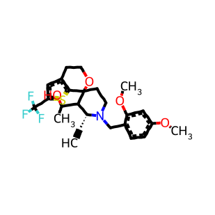 C#C[C@@H]1C(C(C)O)C2(CCN1Cc1ccc(OC)cc1OC)OCCc1cc(C(F)(F)F)sc12